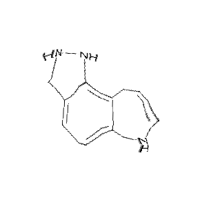 c1cc2c3c(ccc2[nH]1)CNN3